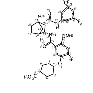 COc1cc(F)c(O[C@H]2CC[C@@H](C(=O)O)CC2)cc1C(=O)N[C@@H]1[C@H]2CC[C@H](C2)[C@@H]1C(=O)Nc1cc(F)cc(C(F)(F)F)c1